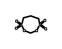 O=S1(=O)CCCS(=O)(=O)OCO1